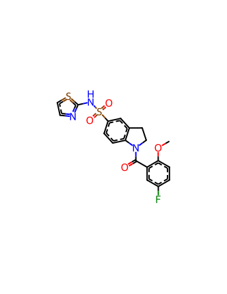 COc1ccc(F)cc1C(=O)N1CCc2cc(S(=O)(=O)Nc3nccs3)ccc21